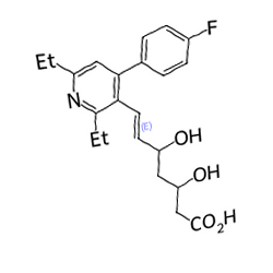 CCc1cc(-c2ccc(F)cc2)c(/C=C/C(O)CC(O)CC(=O)O)c(CC)n1